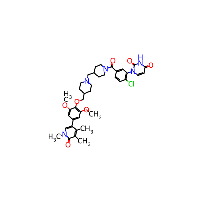 COc1cc(-c2cn(C)c(=O)c(C)c2C)cc(OC)c1OCC1CCN(CC2CCN(C(=O)c3ccc(Cl)c(-n4ccc(=O)[nH]c4=O)c3)CC2)CC1